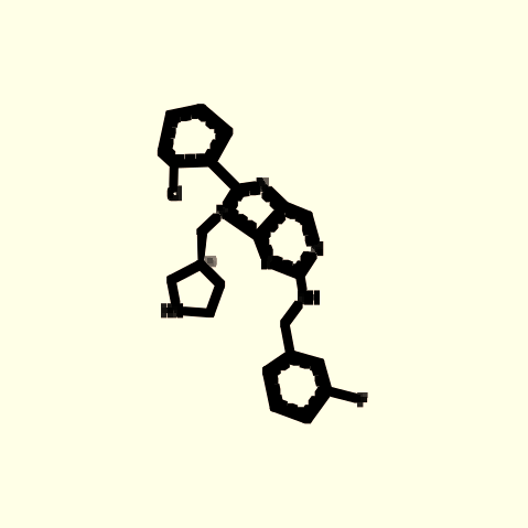 Fc1cccc(CNc2ncc3nc(-c4ccccc4Cl)n(C[C@H]4CCNC4)c3n2)c1